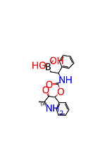 C[C@H](N)C(=O)C(OC(=O)NC(CB(O)O)c1ccccc1)c1ccccc1